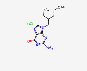 CC(=O)OCCC(COC(C)=O)Cn1cnc2c(=O)[nH]c(N)nc21.Cl